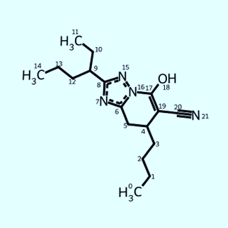 CCCCC1Cc2nc(C(CC)CCC)nn2C(O)=C1C#N